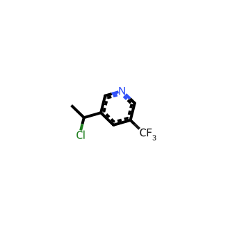 CC(Cl)c1cncc(C(F)(F)F)c1